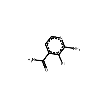 CCc1c(C(N)=O)ccnc1N